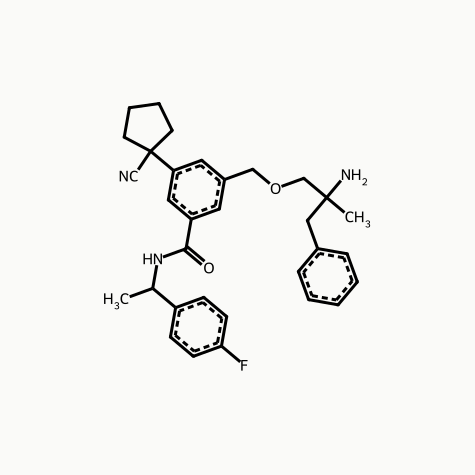 CC(NC(=O)c1cc(COCC(C)(N)Cc2ccccc2)cc(C2(C#N)CCCC2)c1)c1ccc(F)cc1